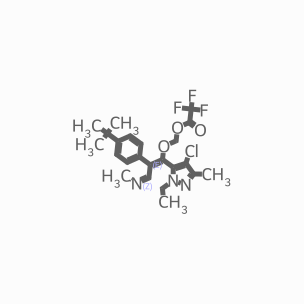 CCn1nc(C)c(Cl)c1/C(OCOC(=O)C(F)(F)F)=C(\C=N/C)c1ccc(C(C)(C)C)cc1